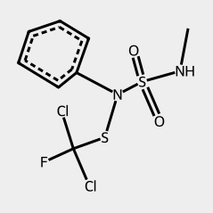 CNS(=O)(=O)N(SC(F)(Cl)Cl)c1ccccc1